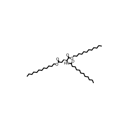 CCCCCCCCCCCCOC(=O)CC[C@H](NC(=O)CCCCCCCCCCC)C(=O)OCCCCCCCCCCCC